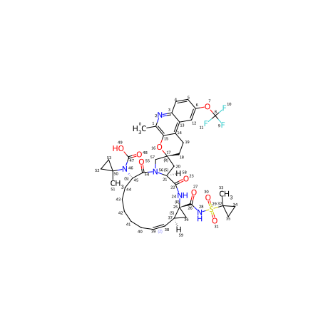 Cc1nc2ccc(OC(F)(F)F)cc2c2c1O[C@]1(CC2)C[C@H]2C(=O)N[C@]3(C(=O)NS(=O)(=O)C4(C)CC4)C[C@H]3/C=C\CCCCC[C@H](N(C(=O)O)C3(C)CC3)C(=O)N2C1